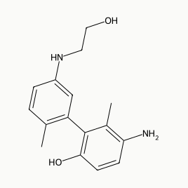 Cc1ccc(NCCO)cc1-c1c(O)ccc(N)c1C